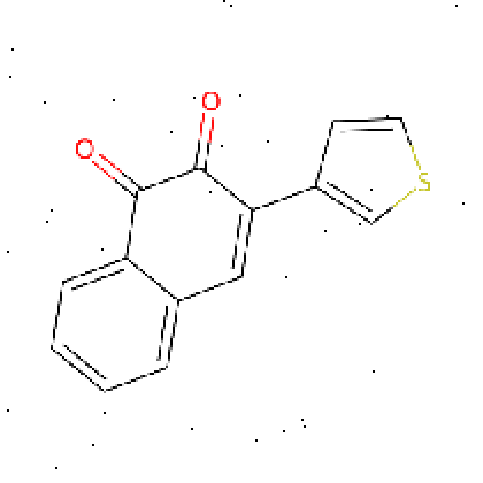 O=C1C(=O)c2ccccc2C=C1c1ccsc1